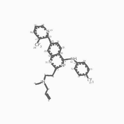 C=CCN(C)CCc1nc(Nc2ccc(C(F)(F)F)cc2)c2ccc(-c3ncccc3C(F)(F)F)cc2n1